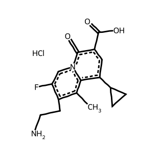 Cc1c(CCN)c(F)cn2c(=O)c(C(=O)O)cc(C3CC3)c12.Cl